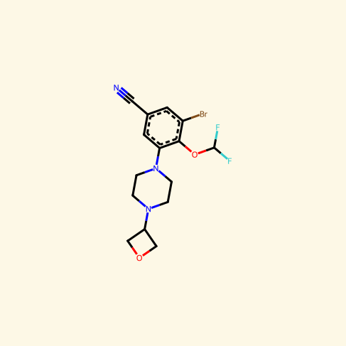 N#Cc1cc(Br)c(OC(F)F)c(N2CCN(C3COC3)CC2)c1